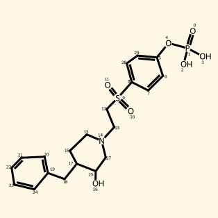 O=P(O)(O)Oc1ccc(S(=O)(=O)CCN2CCC(Cc3ccccc3)C(O)C2)cc1